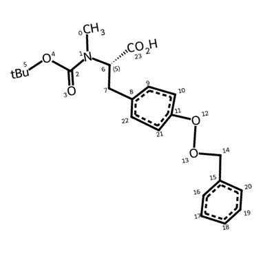 CN(C(=O)OC(C)(C)C)[C@@H](Cc1ccc(OOCc2ccccc2)cc1)C(=O)O